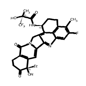 CC[C@@]1(O)C(=O)CCc2c1cc1n(c2=O)Cc2c-1nc1cc(F)c(C)c3c1c2[C@@H](NC(=O)[C@](C)(O)C(F)(F)F)CC3